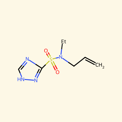 C=CCN(CC)S(=O)(=O)c1nc[nH]n1